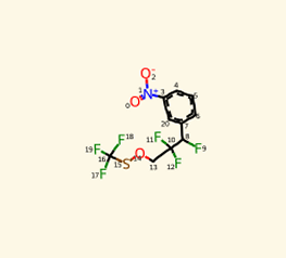 O=[N+]([O-])c1cccc(C(F)C(F)(F)COSC(F)(F)F)c1